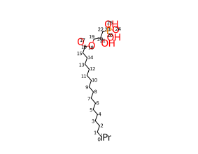 CC(C)CCCCCCCCCCCCCCCC(=O)OCC(O)CP(=O)(O)O